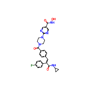 O=C(NC1CC1)/C(=C/c1ccc(C(=O)N2CCN(c3ncc(C(=O)NO)cn3)CC2)cc1)c1ccc(F)cc1